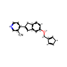 N#Cc1cnccc1C1=Cc2cc(OCC3=CCC=C3)ccc2C1